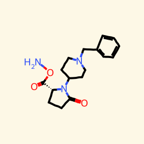 NOC(=O)[C@H]1CCC(=O)N1C1CCN(Cc2ccccc2)CC1